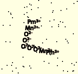 [Mn+2].[Mn+2].[O-2].[O-2].[O-2].[O-2].[O-2].[Pm+3].[Pm+3]